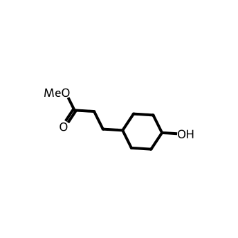 COC(=O)CCC1CCC(O)CC1